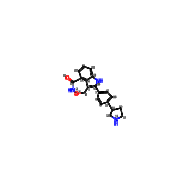 O=C1NOCc2c(-c3ccc(C4CCNC4)cc3)[nH]c3cccc1c23